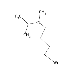 CC(C)CCCCN(C)C(C)C(F)(F)F